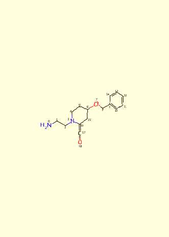 NCCN1CCC(OCc2ccccc2)CC1=C=O